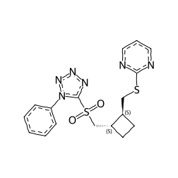 O=S(=O)(C[C@H]1CC[C@@H]1CSc1ncccn1)c1nnnn1-c1ccccc1